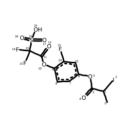 CC(I)C(=O)Oc1ccc(OC(=O)C(F)(F)S(=O)(=O)O)c(F)c1